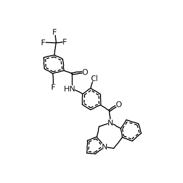 O=C(Nc1ccc(C(=O)N2Cc3cccn3Cc3ccccc32)cc1Cl)c1cc(C(F)(F)F)ccc1F